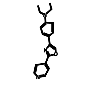 CCN(CC)c1ccc(-c2coc(-c3ccncc3)n2)cc1